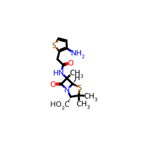 CC1(C)S[C@H]2N(C(=O)C2(C)NC(=O)Cc2sccc2N)[C@H]1C(=O)O